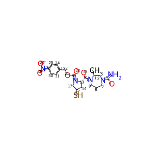 CC1CN(C(N)=O)CCCN1C(=O)[C@@H]1C[C@H](S)CN1C(=O)OCc1ccc([N+](=O)[O-])cc1